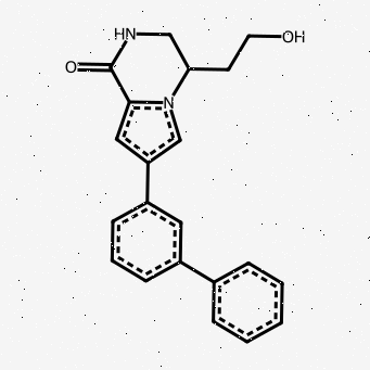 O=C1NCC(CCO)n2cc(-c3cccc(-c4ccccc4)c3)cc21